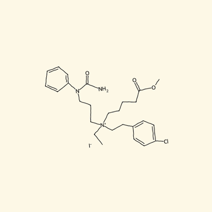 CC[N+](CCCCC(=O)OC)(CCCN(C(N)=O)c1ccccc1)CCc1ccc(Cl)cc1.[I-]